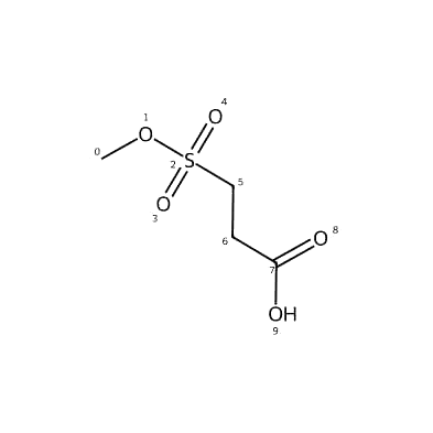 COS(=O)(=O)CCC(=O)O